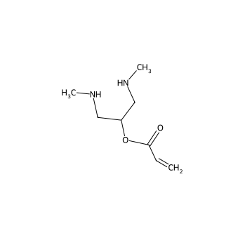 C=CC(=O)OC(CNC)CNC